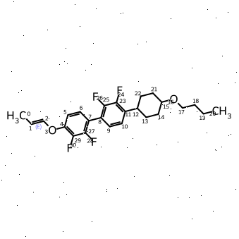 C/C=C/Oc1ccc(-c2ccc(C3CCC(OCCCC)CC3)c(F)c2F)c(F)c1F